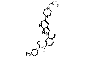 O=C(Nc1ccc(F)c(-n2cc3cc(N4CCN(CC(F)(F)F)CC4)cnc3n2)c1)N1CC[C@@H](F)C1